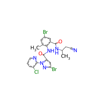 Cc1cc(Br)cc(C(=O)NC(C)CC#N)c1NC(=O)c1cc(Br)nn1-c1ncccc1Cl